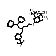 CC(C)(O)c1c(F)cc(OCCCN(Cc2cccc(C(F)(F)F)c2)CC(c2ccccc2)c2ccccc2)cc1S(C)(=O)=O